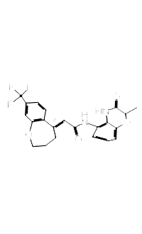 CC1Oc2cccc(NC(=O)/C=C3\CCCOc4cc(C(F)(F)F)ccc43)c2NC1=O